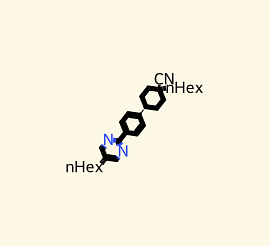 CCCCCCc1cnc(-c2ccc([C@H]3CC[C@@](C#N)(CCCCCC)CC3)cc2)nc1